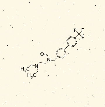 CCN(CC)CCN(C=O)Cc1ccc(-c2ccc(C(F)(F)F)cc2)cc1